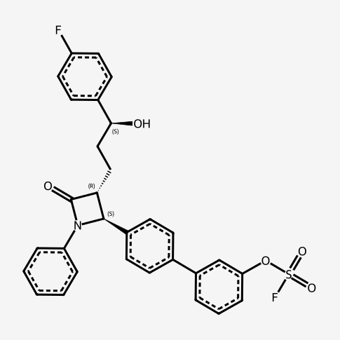 O=C1[C@H](CC[C@H](O)c2ccc(F)cc2)[C@@H](c2ccc(-c3cccc(OS(=O)(=O)F)c3)cc2)N1c1ccccc1